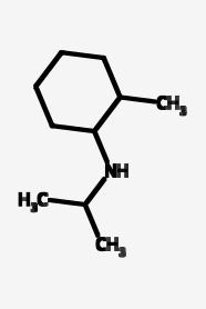 CC(C)NC1CCCCC1C